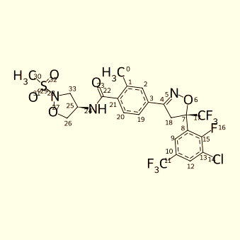 Cc1cc(C2=NO[C@@](c3cc(C(F)(F)F)cc(Cl)c3F)(C(F)(F)F)C2)ccc1C(=O)N[C@H]1CON(S(C)(=O)=O)C1